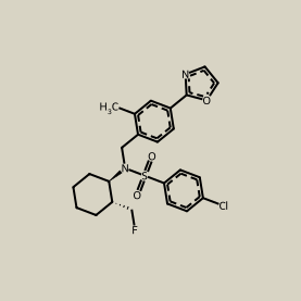 Cc1cc(-c2ncco2)ccc1CN([C@@H]1CCCC[C@H]1CF)S(=O)(=O)c1ccc(Cl)cc1